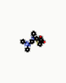 c1ccc(-c2nc(-c3ccccc3)nc(-c3ccc4c(c3)nc(-c3ccccc3)c3ccc5c(c34)Sc3ccccc3C53c4ccccc4-c4ccccc43)n2)cc1